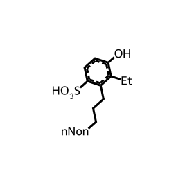 CCCCCCCCCCCCc1c(S(=O)(=O)O)ccc(O)c1CC